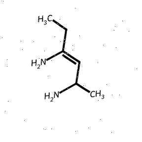 CC/C(N)=C/C(C)N